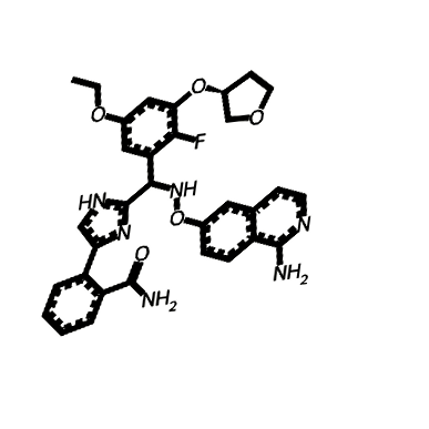 CCOc1cc(O[C@H]2CCOC2)c(F)c(C(NOc2ccc3c(N)nccc3c2)c2nc(-c3ccccc3C(N)=O)c[nH]2)c1